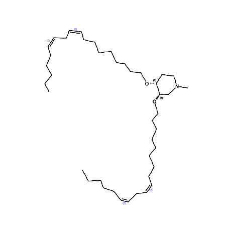 CCCCC/C=C\C/C=C\CCCCCCCCO[C@@H]1CCN(C)C[C@H]1OCCCCCCCC/C=C\C/C=C\CCCCC